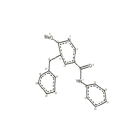 COc1ncc(C(=O)Nc2ccccc2)cc1Cc1ccccc1